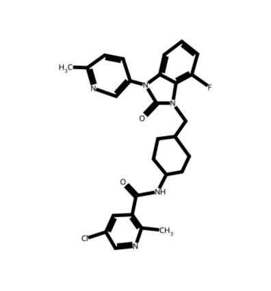 Cc1ccc(-n2c(=O)n(CC3CCC(NC(=O)c4cc(Cl)cnc4C)CC3)c3c(F)cccc32)cn1